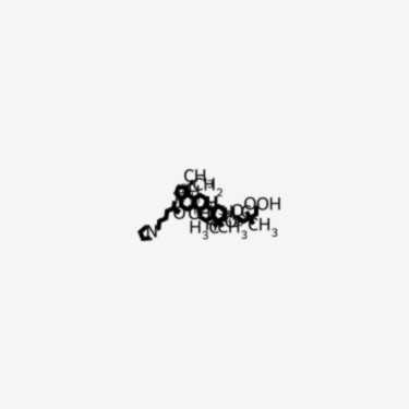 C=C(C)[C@@H]1CC[C@]2(CC(=O)CCCCN3CCCC3)CC[C@]3(C)[C@H](CC[C@@H]4[C@@]5(C)CC[C@H](OC(=O)CC(C)(C)CC(=O)O)C(C)(C)[C@@H]5CC[C@]43C)[C@@H]12